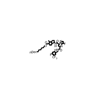 CCCCCCCCCCCCCCCCOC(=O)c1ccc2c(c1C)CC[C@@H]2NC(=O)c1cc(C(=O)NCc2ccc(F)c(C(F)(F)F)c2)nc2c(F)cnn12